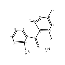 Cc1cc(C)c(C(=O)c2ccccc2P)c(C)c1.[LiH]